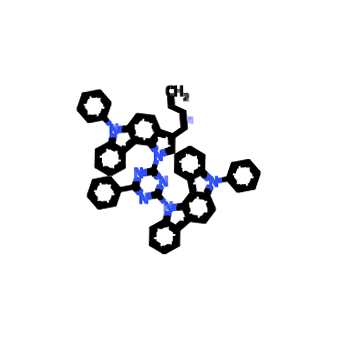 C=C/C=C\c1cn(-c2nc(-c3ccccc3)nc(-n3c4ccccc4c4ccc5c(c6ccccc6n5-c5ccccc5)c43)n2)c2c1ccc1c2c2ccccc2n1-c1ccccc1